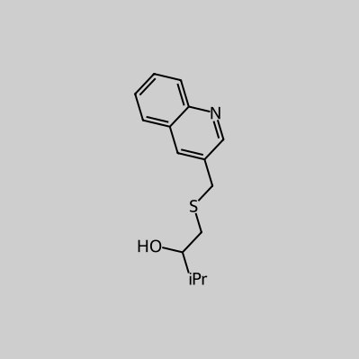 CC(C)C(O)CSCc1cnc2ccccc2c1